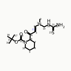 CN(/C=C/C(=O)C1CCCCN1C(=O)OC(C)(C)C)CNC(N)=S